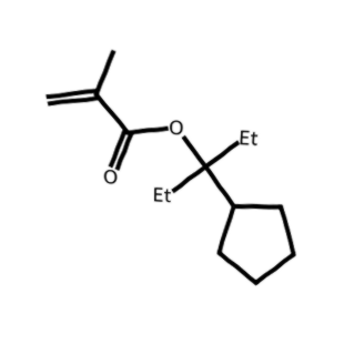 C=C(C)C(=O)OC(CC)(CC)C1CCCC1